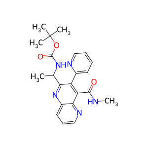 CNC(=O)c1c(-c2ccccn2)c(C(C)NC(=O)OC(C)(C)C)nc2cccnc12